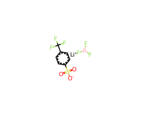 FB(F)F.O=S(=O)([O-])c1ccc(C(F)(F)F)cc1.[Li+]